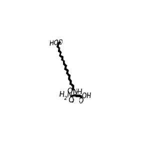 NC(=O)C(CCC(=O)O)NC(=O)CCCCCCCCCCCCCCCCCCC(=O)O